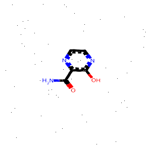 NC(=O)c1nccnc1O